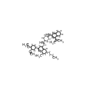 CCCCc1cc(C)c2nc(-c3ccc(OC)c(OC)c3)cc(CN[C@H]3CC[C@@H](Nc4nc(N(C)C)c5ccccc5n4)CC3)c2c1